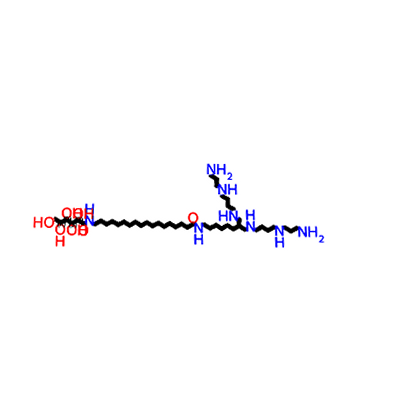 NCCCNCCCCNCC(CCCCCCNC(=O)CCCCCCCCCCCCCCCCCNC(=O)[C@H](O)[C@@H](O)[C@H](O)[C@H](O)CO)CNCCCCNCCCN